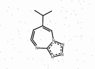 CC(C)C1=Cn2nnnc2N=C=C1